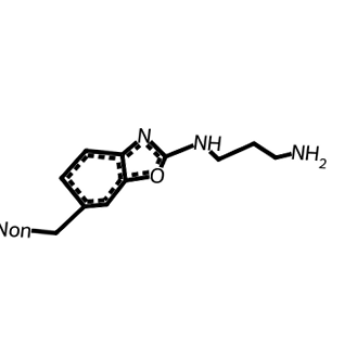 CCCCCCCCCCc1ccc2nc(NCCCN)oc2c1